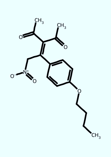 CCCCOc1ccc(C(C[N+](=O)[O-])=C(C(C)=O)C(C)=O)cc1